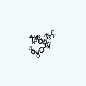 CO[C@H]1CCN(C(=O)N2CCC(c3ncnc4c3c3ccc(S(=O)(=O)NC5(C#N)CC5)cc3n4-c3nnc(C(F)F)s3)CC2)C1